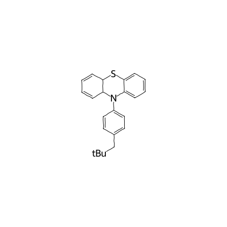 CC(C)(C)Cc1ccc(N2c3ccccc3SC3C=CC=CC32)cc1